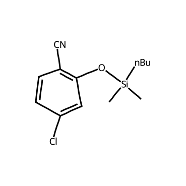 CCCC[Si](C)(C)Oc1cc(Cl)ccc1C#N